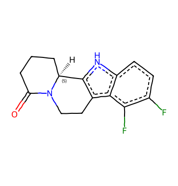 O=C1CCC[C@H]2c3[nH]c4ccc(F)c(F)c4c3CCN12